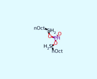 CCCCCCCC[SiH2]O[PH](=O)O[SiH2]CCCCCCCC